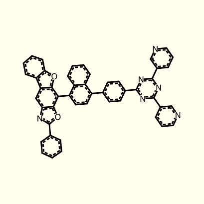 c1ccc(-c2nc3cc4c(oc5ccccc54)c(-c4ccc(-c5ccc(-c6nc(-c7cccnc7)nc(-c7cccnc7)n6)cc5)c5ccccc45)c3o2)cc1